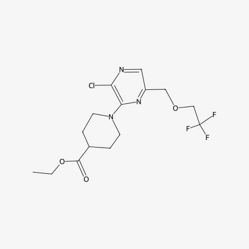 CCOC(=O)C1CCN(c2nc(COCC(F)(F)F)cnc2Cl)CC1